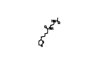 CC(=O)NCCNC(=O)CCCC[C@@H]1CCSS1